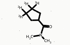 [2H]C1([2H])CC(C(=O)N(C)C)CC1([2H])[2H]